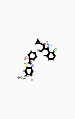 Cc1cccc(Cl)c1-c1noc(C2CC2)c1CO[C@H]1CC[C@](O)(c2nc3cc(F)c(C(=O)O)cc3s2)CC1